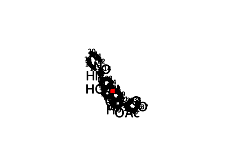 CC(=O)O[C@H]1[C@H]2O[C@]23[C@@H]2CC[C@]4(O)C[C@@H](NC(=O)N5CCCN(C)CC5)CC[C@]4(C)[C@H]2CC[C@]3(C)[C@H]1c1ccc(=O)oc1